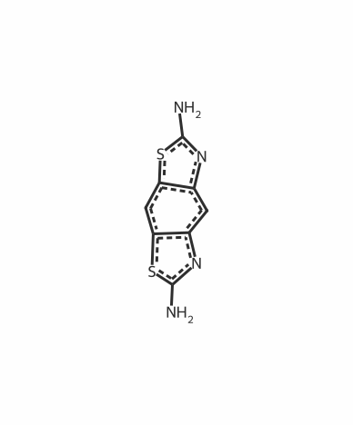 Nc1nc2cc3nc(N)sc3cc2s1